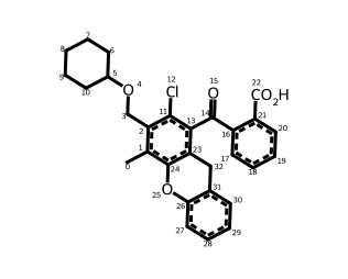 Cc1c(COC2CCCCC2)c(Cl)c(C(=O)c2ccccc2C(=O)O)c2c1Oc1ccccc1C2